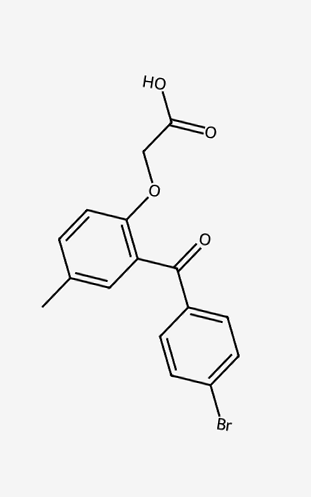 Cc1ccc(OCC(=O)O)c(C(=O)c2ccc(Br)cc2)c1